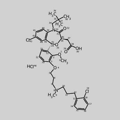 COc1c(OCCCN(C)CCCc2ccccc2Cl)cccc1[C@H]1O[C@H](CC(=O)O)C(=O)N(CC(C)(C)C)c2ccc(Cl)cc21.Cl